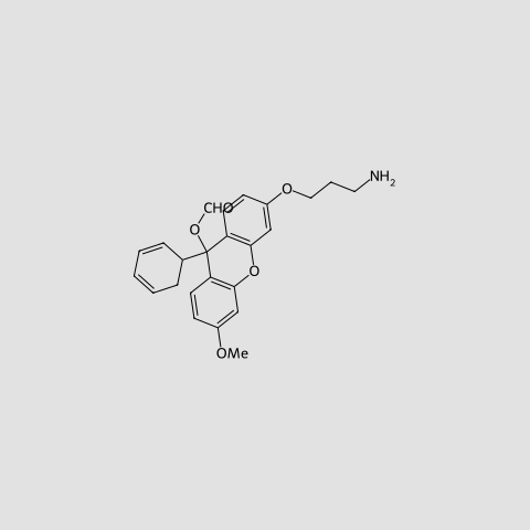 COc1ccc2c(c1)Oc1cc(OCCCN)ccc1C2(OC=O)C1C=CC=CC1